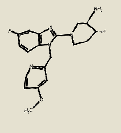 COc1ccnc(Cn2c(N3CC[C@@H](F)[C@H](N)C3)nc3cc(F)ccc32)c1